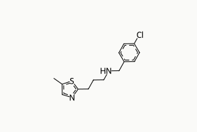 Cc1cnc(CCCNCc2ccc(Cl)cc2)s1